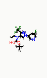 CCN(c1cn(-c2cncc(F)c2)nc1C(F)(F)F)C(O)OC(C)(C)C